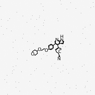 N#CC1CC=C(c2c(-c3ccc(OCCOC4CCOCC4)cc3)cnc3[nH]ccc23)CC1